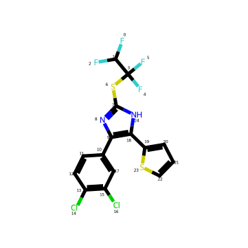 FC(F)C(F)(F)Sc1nc(-c2ccc(Cl)c(Cl)c2)c(-c2cccs2)[nH]1